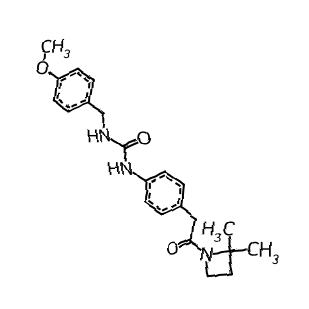 COc1ccc(CNC(=O)Nc2ccc(CC(=O)N3CCC3(C)C)cc2)cc1